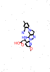 COc1ccc([C@@H](CC(=O)O)Nc2ncnc3c2CN(c2ccc(C)cc2C#N)CC3)cn1